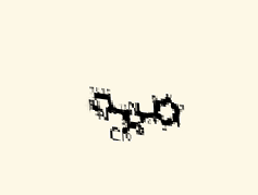 Clc1sc(-c2ccccc2)nc1C1=N[N]C=C1